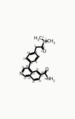 CN(C)C(=O)Cc1ccc(-c2cncc3ccc(C(N)=O)cc23)cc1